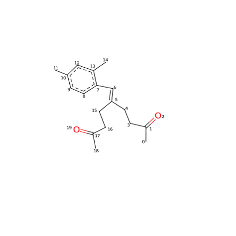 CC(=O)CCC(=Cc1ccc(C)cc1C)CCC(C)=O